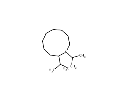 CC(C)C1CCCCCCCCN1C(C)C